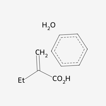 C=C(CC)C(=O)O.O.c1ccccc1